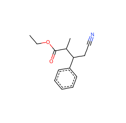 CCOC(=O)C(C)C(CC#N)c1ccccc1